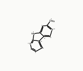 COc1cc2[nH]c3ncccc3c2cn1